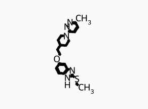 CCSc1nc2cc(OCCC3CCN(c4ccc(C)nn4)CC3)ccc2[nH]1